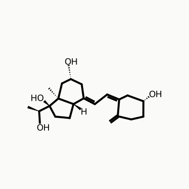 C=C1CC[C@@H](O)C/C1=C/C=C1\C[C@@H](O)C[C@@]2(C)[C@H]1CC[C@]2(O)[C@H](C)O